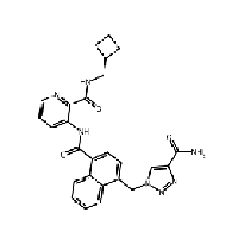 NC(=O)c1cn(Cc2ccc(C(=O)Nc3cccnc3C(=O)NCC3CCC3)c3ccccc23)nn1